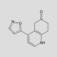 O=C1CCC2=C(C1)C(c1ccno1)=C=CN2